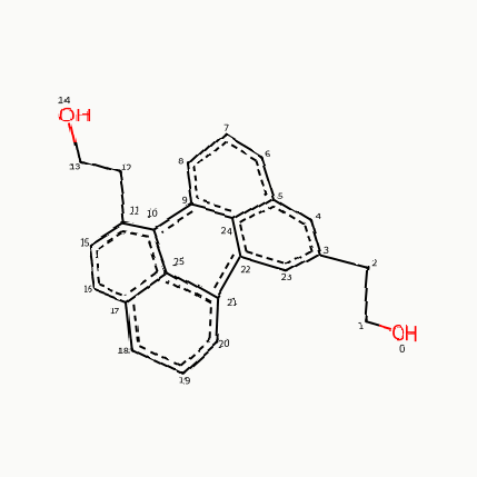 OCCc1cc2cccc3c4c(CCO)ccc5cccc(c(c1)c23)c54